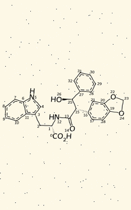 O=C(O)[C@H](Cc1c[nH]c2ccccc12)NC(=O)[C@@H](c1ccc2c(c1)OCO2)[C@@H](O)c1ccccc1